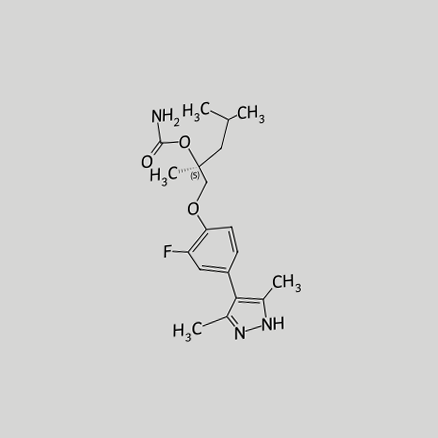 Cc1n[nH]c(C)c1-c1ccc(OC[C@](C)(CC(C)C)OC(N)=O)c(F)c1